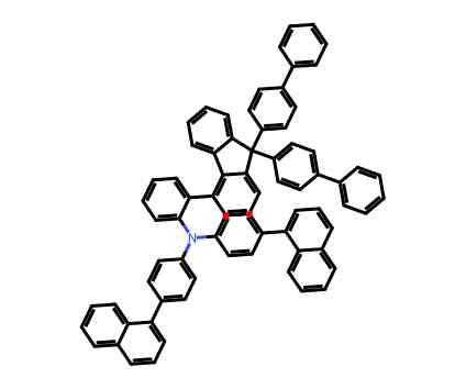 c1ccc(-c2ccc(C3(c4ccc(-c5ccccc5)cc4)c4ccccc4-c4c(-c5ccccc5N(c5ccc(-c6cccc7ccccc67)cc5)c5ccc(-c6cccc7ccccc67)cc5)cccc43)cc2)cc1